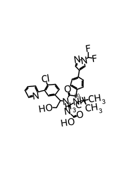 CC(C)(C)C[C@]1(c2ccc(-c3cnn(C(F)F)c3)cc2)NC(=NC(=O)O)N(C(CO)c2ccc(Cl)c(-c3ccccn3)c2)C1=O